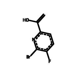 C=C(O)c1ccc(F)c(Br)n1